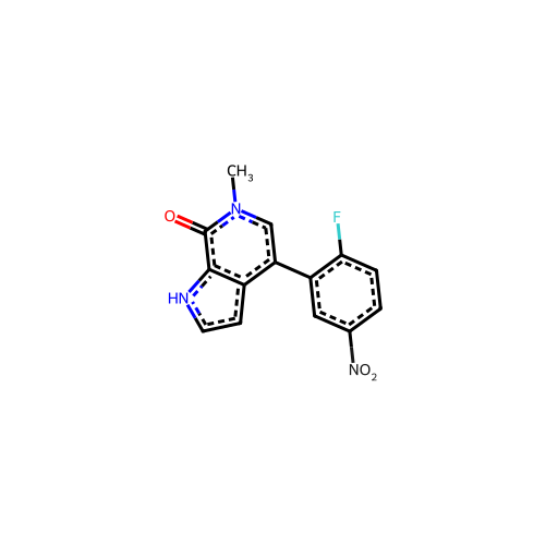 Cn1cc(-c2cc([N+](=O)[O-])ccc2F)c2cc[nH]c2c1=O